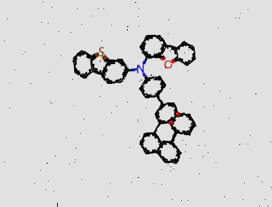 c1ccc(-c2cccc3cccc(-c4cccc(-c5ccc(N(c6ccc7c(c6)sc6ccccc67)c6cccc7c6oc6ccccc67)cc5)c4)c23)cc1